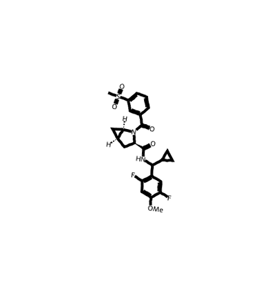 COc1cc(F)c(C(NC(=O)[C@H]2C[C@H]3C[C@H]3N2C(=O)c2cccc(S(C)(=O)=O)c2)C2CC2)cc1F